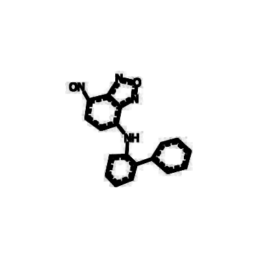 O=Nc1ccc(Nc2ccccc2-c2ccccc2)c2nonc12